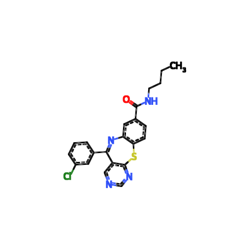 CCCCNC(=O)c1ccc2c(c1)N=C(c1cccc(Cl)c1)c1cncnc1S2